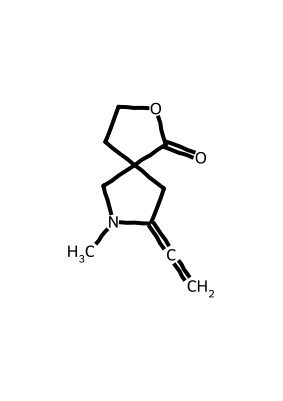 C=C=C1CC2(CCOC2=O)CN1C